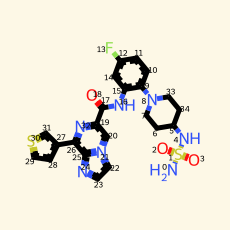 NS(=O)(=O)NC1CCN(c2ccc(F)cc2NC(=O)c2cn3ccnc3c(-c3ccsc3)n2)CC1